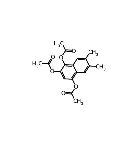 CC(=O)Oc1cc(OC(C)=O)c2cc(C)c(C)cc2c1OC(C)=O